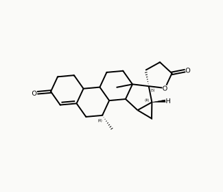 C[C@@H]1CC2=CC(=O)CCC2C2CCC3(C)C(C21)C1C[C@H]1[C@@]31CCC(=O)O1